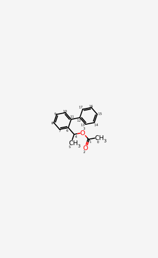 CC(=O)OC(C)c1ccccc1-c1ccccc1